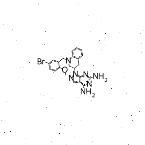 COc1ccc(Br)cc1CN1CC(n2ncc3c(N)nc(N)nc32)Cc2ccccc21